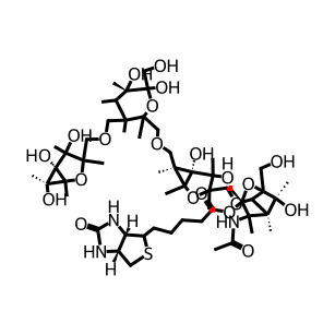 CC(=O)NC1(C)[C@](C)(OC(=O)CCCCC2SC[C@@H]3NC(=O)N[C@H]23)OC2(CO)C(OCC3(C)OC4(C)[C@](O)(C3(C)O)[C@]4(C)COCC3(C)OC(O)(CO)[C@@](C)(O)C(C)C3(C)COCC3(C)OC4(C)[C@](O)(C3(C)O)[C@]4(C)O)[C@@]1(C)[C@]2(C)O